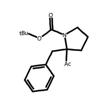 CC(=O)C1(Cc2ccccc2)CCCN1C(=O)OC(C)(C)C